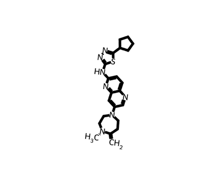 C=C1CCN(c2cnc3ccc(Nc4nnc(C5CCCC5)s4)nc3c2)CCN1C